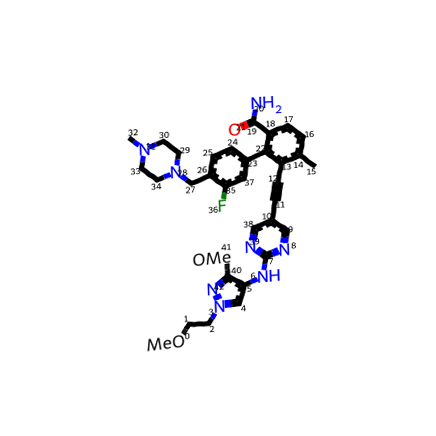 COCCn1cc(Nc2ncc(C#Cc3c(C)ccc(C(N)=O)c3-c3ccc(CN4CCN(C)CC4)c(F)c3)cn2)c(OC)n1